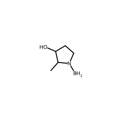 BN1CCC(O)C1C